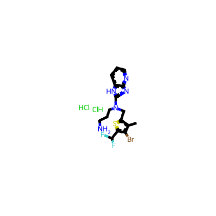 Cc1c(CN(CCCN)c2nc3ncccc3[nH]2)sc(C(F)F)c1Br.Cl.Cl